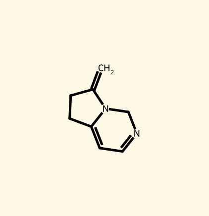 C=C1CCC2=CC=NCN12